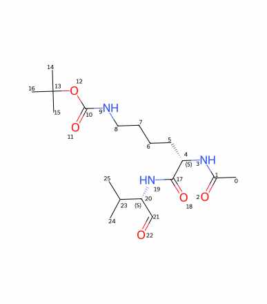 CC(=O)N[C@@H](CCCCNC(=O)OC(C)(C)C)C(=O)N[C@H](C=O)C(C)C